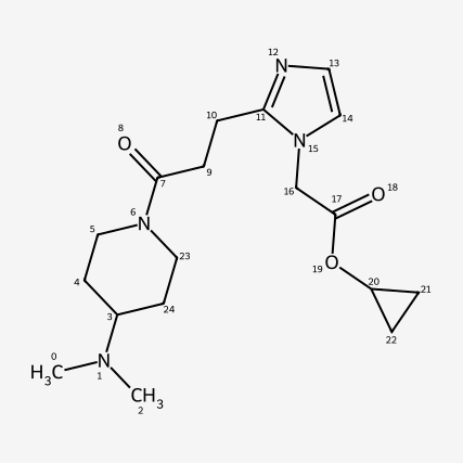 CN(C)C1CCN(C(=O)CCc2nccn2CC(=O)OC2CC2)CC1